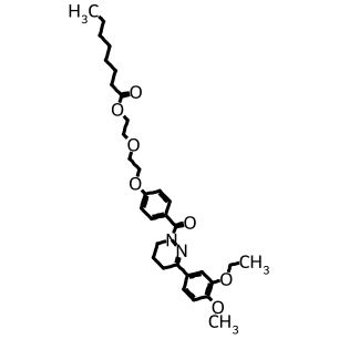 CCCCCCCC(=O)OCCOCCOc1ccc(C(=O)N2CCCC(c3ccc(OC)c(OCC)c3)=N2)cc1